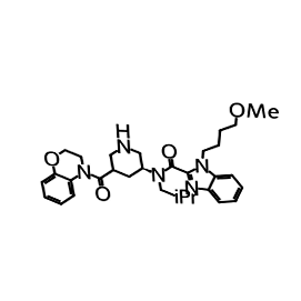 COCCCCn1c(C(=O)N(CC(C)C)[C@@H]2CNCC(C(=O)N3CCOc4ccccc43)C2)nc2ccccc21